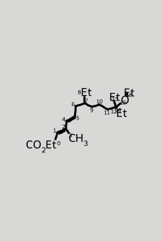 CCOC(=O)/C=C(C)/C=C/CC(CC)CCCC(CC)(CC)OCC